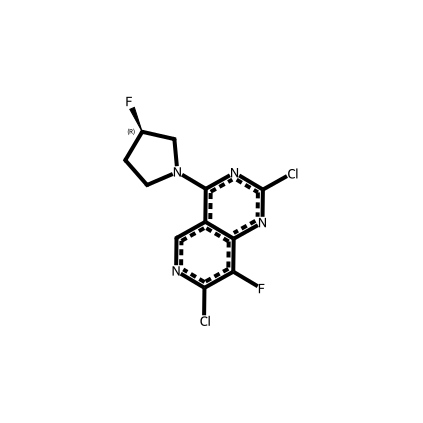 Fc1c(Cl)ncc2c(N3CC[C@@H](F)C3)nc(Cl)nc12